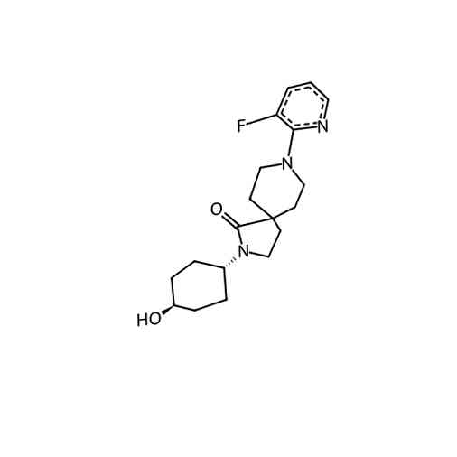 O=C1N([C@H]2CC[C@H](O)CC2)CCC12CCN(c1ncccc1F)CC2